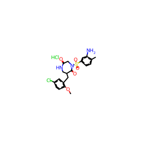 COc1ccc(Cl)cc1CC1CNC(=O)CN(S(=O)(=O)c2ccc(C)c(N)c2)C1=O.Cl